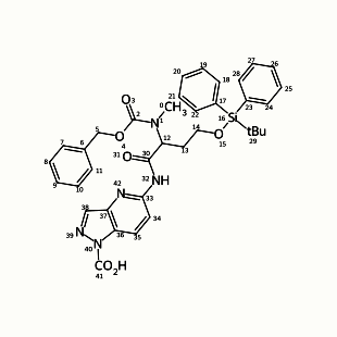 CN(C(=O)OCc1ccccc1)C(CCO[Si](c1ccccc1)(c1ccccc1)C(C)(C)C)C(=O)Nc1ccc2c(cnn2C(=O)O)n1